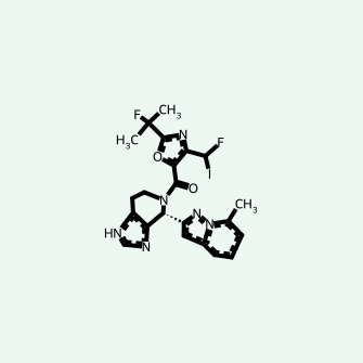 Cc1cccc2cc([C@@H]3c4nc[nH]c4CCN3C(=O)c3oc(C(C)(C)F)nc3C(F)I)nn12